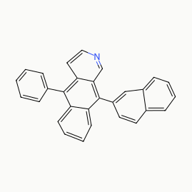 c1ccc(-c2c3ccccc3c(-c3ccc4ccccc4c3)c3cnccc23)cc1